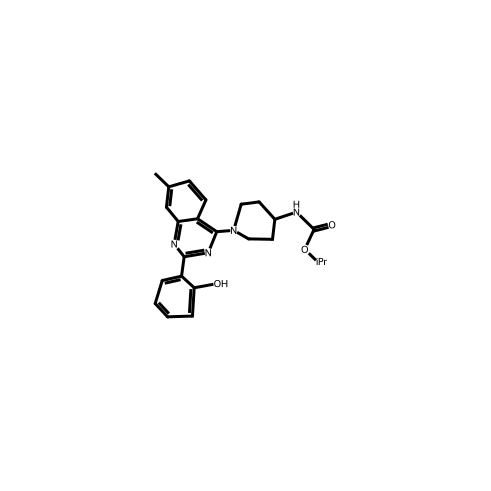 Cc1ccc2c(N3CCC(NC(=O)OC(C)C)CC3)nc(-c3ccccc3O)nc2c1